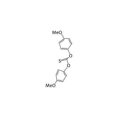 COc1ccc(OC(=S)Oc2ccc(OC)cc2)cc1